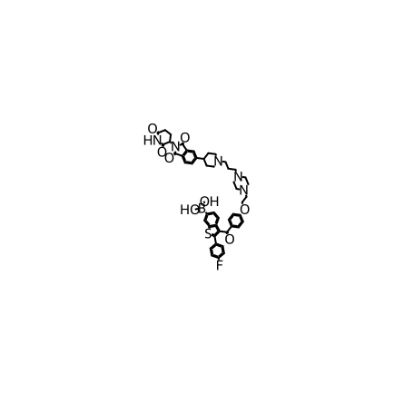 O=C1CCC(N2C(=O)c3ccc(C4CCN(CCCN5CCN(CCOc6ccc(C(=O)c7c(-c8ccc(F)cc8)sc8cc(B(O)O)ccc78)cc6)CC5)CC4)cc3C2=O)C(=O)N1